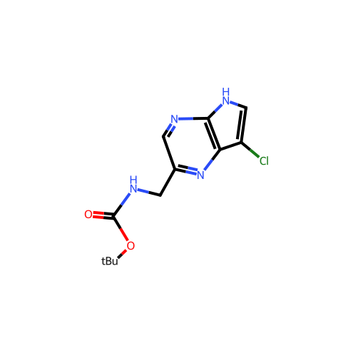 CC(C)(C)OC(=O)NCc1cnc2[nH]cc(Cl)c2n1